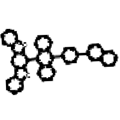 c1ccc2cc(-c3ccc(-c4c5ccccc5c(-c5c6oc7ccccc7c6cc6c5oc5ccccc56)c5ccccc45)cc3)ccc2c1